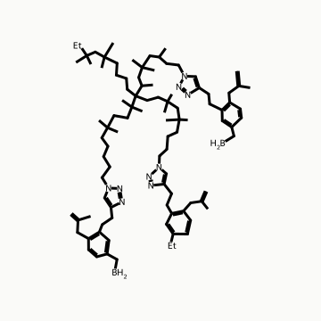 BCc1ccc(CC(=C)C)c(CCc2cn(CCCCCC(C)(C)CCC(C)(C)C(CCCCC(C)(C)CC(C)(C)CC)(CCC(C)(C)CC(C)(C)CCCCn3cc(CCc4cc(CC)ccc4CC(=C)C)nn3)C(C)CC(C)(C)CC(C)CCn3cc(CCc4cc(CB)ccc4CC(=C)C)nn3)nn2)c1